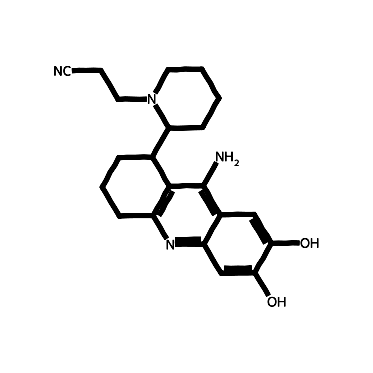 N#CCCN1CCCCC1C1CCCc2nc3cc(O)c(O)cc3c(N)c21